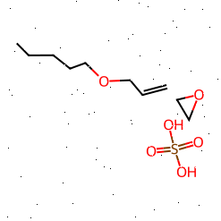 C1CO1.C=CCOCCCCC.O=S(=O)(O)O